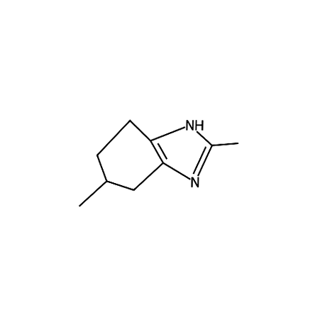 Cc1nc2c([nH]1)CCC(C)C2